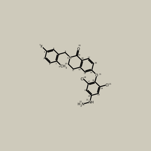 Cc1ccc(F)cc1CN1CCc2cc(Oc3c(Cl)cc(NN)cc3Cl)ccc2C1=O